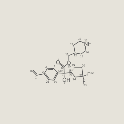 C=Cc1ccc([C@@](O)(C(=O)OCC2CCNCC2)[C@@H]2CCC(F)(F)C2)cc1